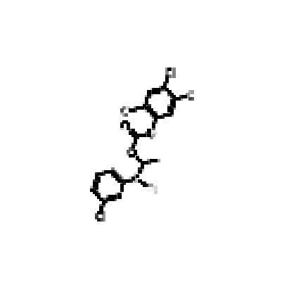 CCN(c1cccc(Cl)c1)C(C)OC(=O)Oc1cc(Cl)c(Cl)cc1Cl